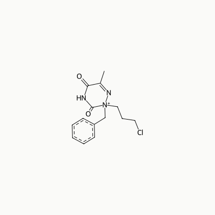 CC1=N[N+](CCCCl)(Cc2ccccc2)C(=O)NC1=O